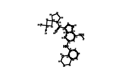 CNc1cc(Nc2cccc3c2OCCC3)nn2c(C(=O)N3CCCC34CC(F)(F)C4)cnc12